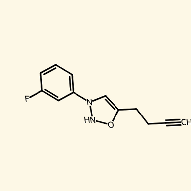 C#CCCC1=CN(c2cccc(F)c2)NO1